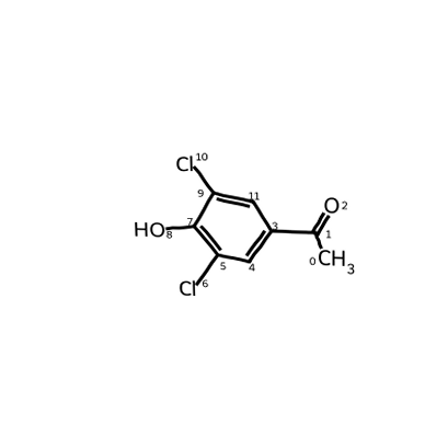 CC(=O)c1cc(Cl)c(O)c(Cl)c1